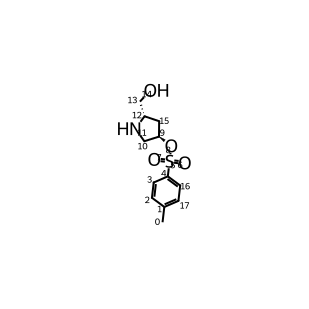 Cc1ccc(S(=O)(=O)O[C@H]2CN[C@H](CO)C2)cc1